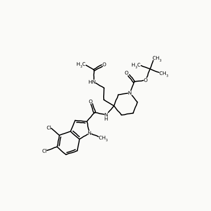 CC(=O)NCCC1(NC(=O)c2cc3c(Cl)c(Cl)ccc3n2C)CCCN(C(=O)OC(C)(C)C)C1